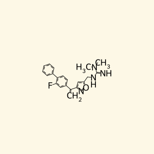 C=C(c1ccc(-c2ccccc2)c(F)c1)c1cc(CNC(=N)N(C)C)on1